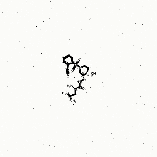 CC(C)C[C@H](N)C(=O)NC[C@@H]1CN(S(=O)(=O)c2ccccc2C#N)CCO1.Cl